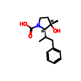 CC(Cc1ccccc1)[C@@H]1N(C(=O)O)CC[C@]1(C)O